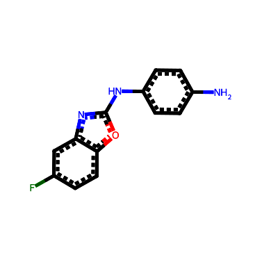 Nc1ccc(Nc2nc3cc(F)ccc3o2)cc1